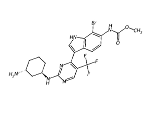 COC(=O)Nc1ccc2c(-c3nc(N[C@@H]4CCC[C@@H](N)C4)ncc3C(F)(F)F)c[nH]c2c1Br